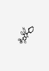 O=c1[nH]c(C2CCCCC2)nc2cc(Cl)c([N+](=O)[O-])cc12